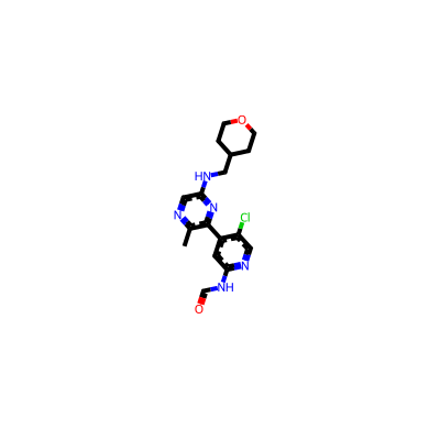 Cc1ncc(NCC2CCOCC2)nc1-c1cc(NC=O)ncc1Cl